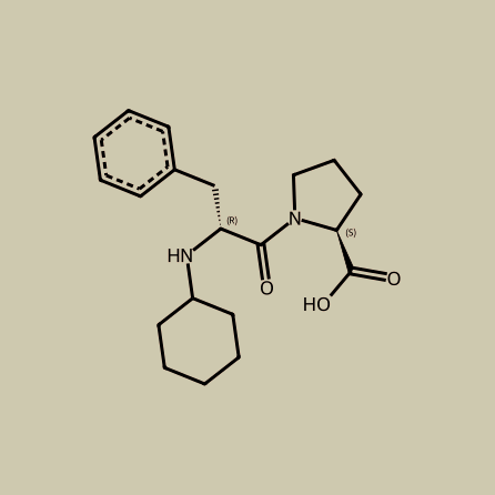 O=C(O)[C@@H]1CCCN1C(=O)[C@@H](Cc1ccccc1)NC1CCCCC1